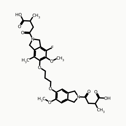 COc1cc2c(cc1OCCCOc1c(C)c3c(c(F)c1OC)CN(C(=O)CC(C)C(=O)O)C3)CN(C(=O)CC(C)C(=O)O)C2